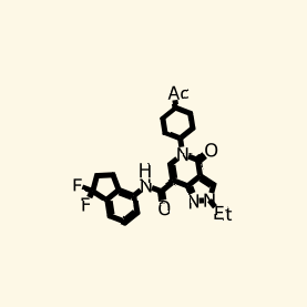 CCn1cc2c(=O)n(C3CCC(C(C)=O)CC3)cc(C(=O)Nc3cccc4c3CCC4(F)F)c2n1